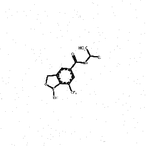 CCC(NC(=O)c1cc2c(c(C(F)(F)F)c1)B(O)OC2)C(=O)O